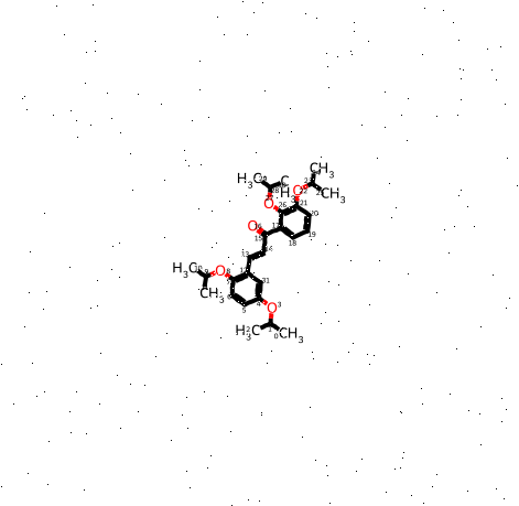 CC(C)Oc1ccc(OC(C)C)c(/C=C/C(=O)c2cccc(OC(C)C)c2OC(C)C)c1